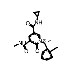 CNC(=O)c1cc(C(=O)NC2CC2)cn([C@H](C)c2ccccc2C)c1=O